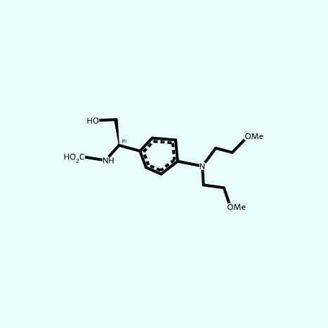 COCCN(CCOC)c1ccc([C@H](CO)NC(=O)O)cc1